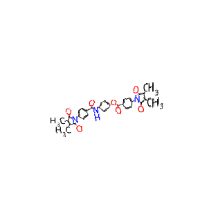 CC1=C(C)C(=O)N(c2ccc(C(=O)Nc3ccc(OC(=O)c4ccc(N5C(=O)C(C)=C(C)C5=O)cc4)cc3)cc2)C1=O